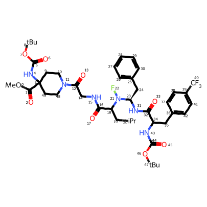 COC(=O)C1(NC(=O)OC(C)(C)C)CCN(C(=O)CNC(=O)C(CC(C)C)N(F)[C@@H](Cc2ccccc2)NC(=O)C(Cc2ccc(C(F)(F)F)cc2)NC(=O)OC(C)(C)C)CC1